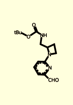 CC(C)(C)OC(=O)NCC1CCN1c1cccc(C=O)n1